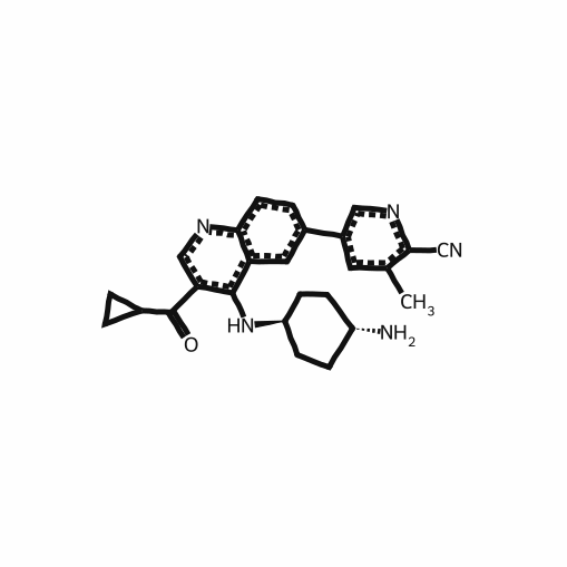 Cc1cc(-c2ccc3ncc(C(=O)C4CC4)c(N[C@H]4CC[C@H](N)CC4)c3c2)cnc1C#N